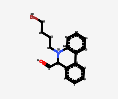 O=CC1c2ccccc2-c2ccccc2N1CCCCBr